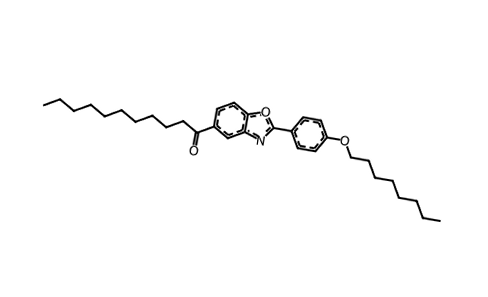 CCCCCCCCCCC(=O)c1ccc2oc(-c3ccc(OCCCCCCCC)cc3)nc2c1